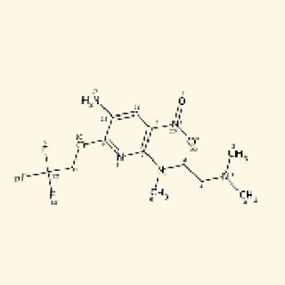 CN(C)CCN(C)c1nc(OCC(F)(F)F)c(N)cc1[N+](=O)[O-]